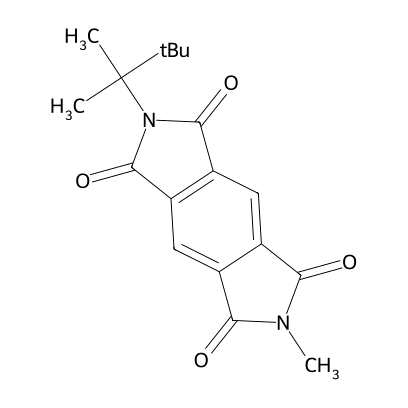 Cn1c(=O)c2cc3c(=O)n(C(C)(C)C(C)(C)C)c(=O)c3cc2c1=O